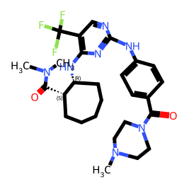 CN1CCN(C(=O)c2ccc(Nc3ncc(C(F)(F)F)c(N[C@@H]4CCCCC[C@@H]4C(=O)N(C)C)n3)cc2)CC1